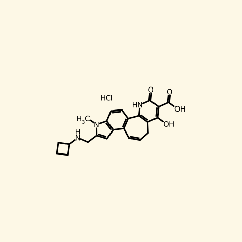 Cl.Cn1c(CNC2CCC2)cc2c3c(ccc21)-c1[nH]c(=O)c(C(=O)O)c(O)c1CC=C3